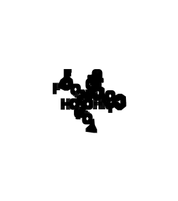 CO[C@@H](COCC1CC1)C[C@H](O)[C@H](COc1cc(F)cc(F)c1)NC(=O)c1cc(C(=O)N[C@H](C)c2ccccc2)cc(N(C)S(C)(=O)=O)c1